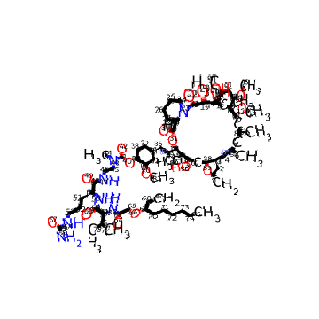 C=CC[C@@H]1/C=C(/C)C[C@H](C)C[C@H](OC)[C@]2(C)C[C@](O)(C(=O)C(=O)N3CCCC[C@H]3C(=O)O[C@H](/C(C)=C/[C@@H]3CC[C@@H](OC(=O)N(C)CCNC(=O)[C@H](CCCNC(N)=O)NC(=O)[C@@H](NC(=O)COC(C=C)CCCCCC)C(C)C)[C@H](OC)C3)[C@H](C)[C@H](O)CC1=O)[C@@H](C)C[C@H]2OC